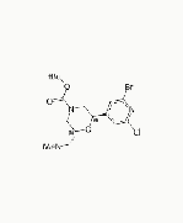 CNC[C@@H]1CN(C(=O)OC(C)(C)C)C[C@@H](c2cc(Cl)nc(Br)c2)O1